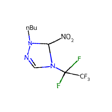 CCCCN1N=CN(C(F)(F)C(F)(F)F)C1[N+](=O)[O-]